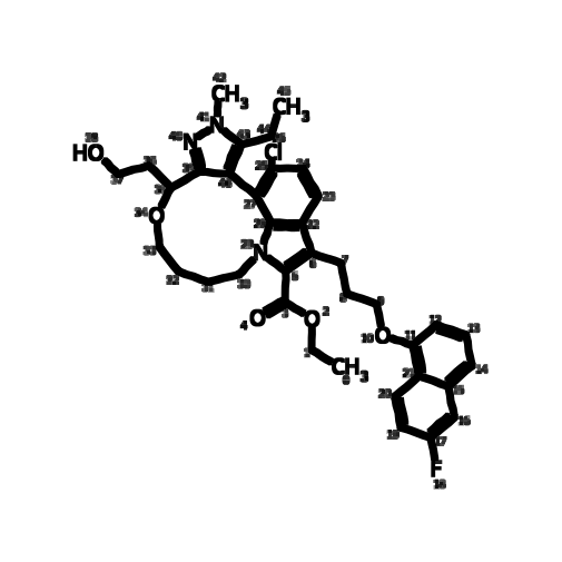 CCOC(=O)c1c(CCCOc2cccc3cc(F)ccc23)c2ccc(Cl)c3c2n1CCCCOC(CCO)c1nn(C)c(CC)c1-3